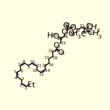 CC/C=C\C/C=C\C/C=C\C/C=C\C/C=C\CCCCCC(=O)OC[C@@H](O)COP(=O)([O-])OCC[N+](C)(C)C